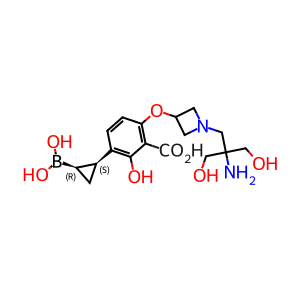 NC(CO)(CO)CN1CC(Oc2ccc([C@H]3C[C@H]3B(O)O)c(O)c2C(=O)O)C1